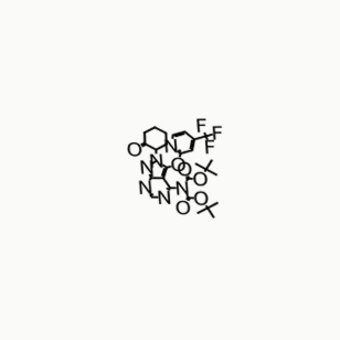 CC(C)(C)OC(=O)N(C(=O)OC(C)(C)C)c1ncnc2nn(C3CCCCC3=O)c(Oc3cc(C(F)(F)F)ccn3)c12